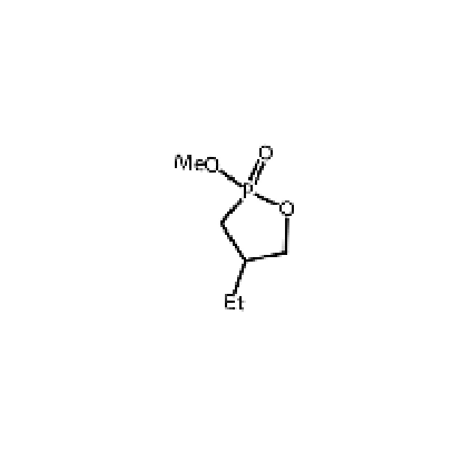 CCC1COP(=O)(OC)C1